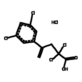 C=C(CC(Cl)(Cl)C(=O)O)c1cc(Cl)cc(Cl)c1.Cl